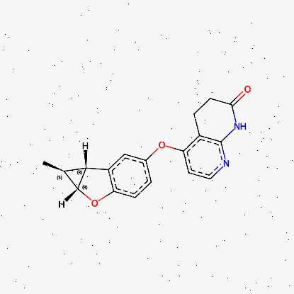 C[C@@H]1[C@H]2Oc3ccc(Oc4ccnc5c4CCC(=O)N5)cc3[C@@H]12